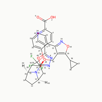 O=C(O)c1ccc(-c2nnc(N3[C@@H]4CC[C@H]3C[C@@H](OCc3c(-c5ccccc5OC(F)(F)F)noc3C3CC3)C4)o2)cn1